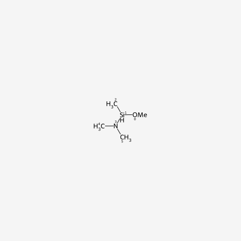 CO[SiH](C)N(C)C